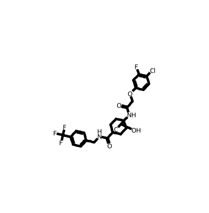 O=C(COc1ccc(Cl)c(F)c1)NC12CCC(C(=O)NCc3ccc(C(F)(F)F)cc3)(CC1)CC2O